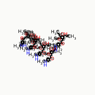 C=CC(C)(C)c1cc(C=CC(=O)c2ccc(NC)cc2)c(OCCC)cc1O.C=CCc1cc(C=CC(=O)c2ccc(NC)cc2)c(OCCC)c(CC=C)c1O.CC=CCc1cc(C=CC(=O)c2ccc(NC)cc2)c(OCCC)c(CC=CC)c1O.CCc1cc(C=CC(=O)c2ccc(NC)cc2)c(OC(C)C)c(CC)c1O.CNc1ccc(C(=O)C=Cc2cc(C)c(O)c(C)c2OC(C)C)cc1